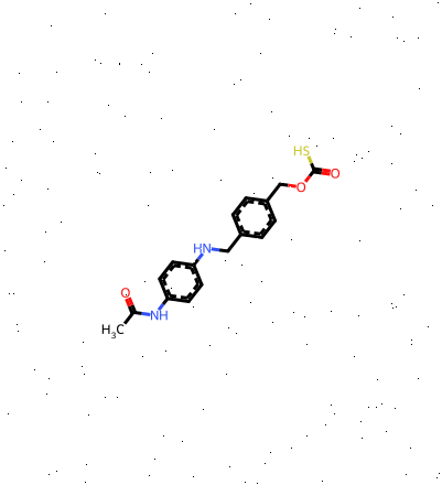 CC(=O)Nc1ccc(NCc2ccc(COC(=O)S)cc2)cc1